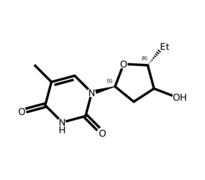 CC[C@H]1O[C@H](n2cc(C)c(=O)[nH]c2=O)CC1O